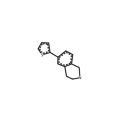 c1csc(-c2ccc3c(c2)CC[N]C3)c1